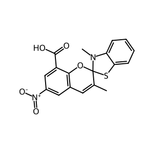 CC1=Cc2cc([N+](=O)[O-])cc(C(=O)O)c2OC12Sc1ccccc1N2C